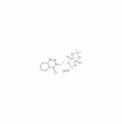 CC1(C)O[C@@H]2O[C@H](C=O)[C@H](CCn3nnc4ccccc4c3=O)[C@@H]2O1